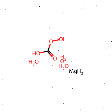 O.O.O.O=C(O)OO.[MgH2]